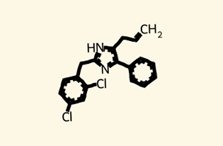 C=CCc1[nH]c(Cc2ccc(Cl)cc2Cl)nc1-c1ccccc1